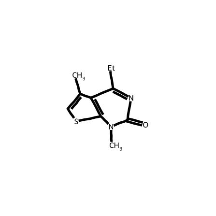 CCc1nc(=O)n(C)c2scc(C)c12